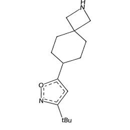 CC(C)(C)c1cc(C2CCC3(CC2)CNC3)on1